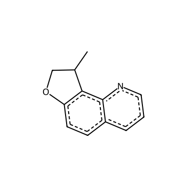 CC1COc2ccc3cccnc3c21